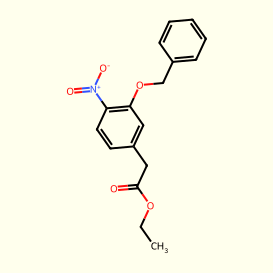 CCOC(=O)Cc1ccc([N+](=O)[O-])c(OCc2ccccc2)c1